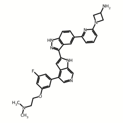 CN(C)CCOc1cc(F)cc(-c2cncc3[nH]c(-c4n[nH]c5ccc(-c6cccc(N7CC(N)C7)n6)cc45)cc23)c1